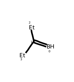 B=C(CC)CC